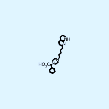 O=C(O)C(c1ccccc1)N1CCN(CCCCCc2ccc3c(n2)NCCC3)CC1